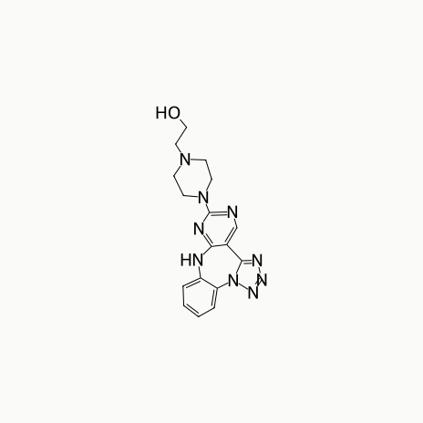 OCCN1CCN(c2ncc3c(n2)Nc2ccccc2-n2nnnc2-3)CC1